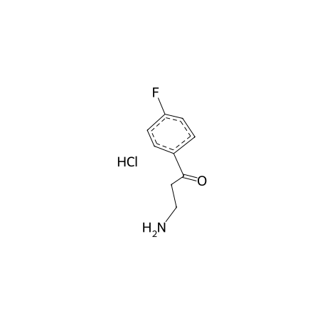 Cl.NCCC(=O)c1ccc(F)cc1